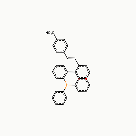 O=C(O)c1ccc(C=Cc2ccccc2-c2ccccc2P(c2ccccc2)c2ccccc2)cc1